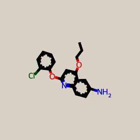 CCCOc1cc(Oc2ccccc2Cl)nc2ccc(N)cc12